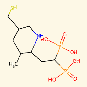 CC1CC(CS)CNC1CC(P(=O)(O)O)P(=O)(O)O